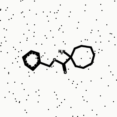 NC1(C(=O)OCc2ccccc2)CCCCCCC1